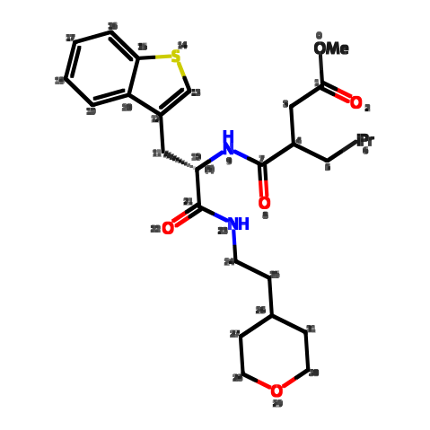 COC(=O)CC(CC(C)C)C(=O)N[C@@H](Cc1csc2ccccc12)C(=O)NCCC1CCOCC1